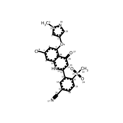 Cn1cc(Oc2cc(Cl)cc3[nH]c(-c4cc(C#N)ccc4S(C)(=O)=O)cc(=O)c23)cn1